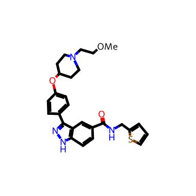 COCCN1CCC(Oc2ccc(-c3n[nH]c4ccc(C(=O)NCc5cccs5)cc34)cc2)CC1